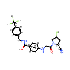 N#C[C@@H]1C[C@H](F)CN1C(=O)CNC12CCC(C(=O)NCc3ccc(C(F)(F)F)cc3)(CC1)CC2